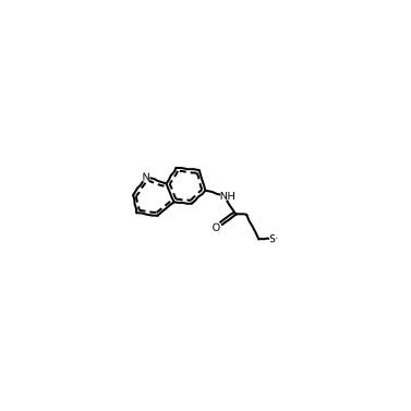 O=C(CC[S])Nc1ccc2ncccc2c1